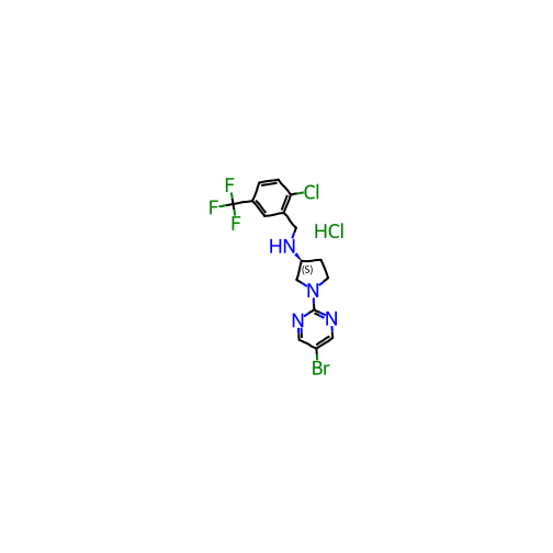 Cl.FC(F)(F)c1ccc(Cl)c(CN[C@H]2CCN(c3ncc(Br)cn3)C2)c1